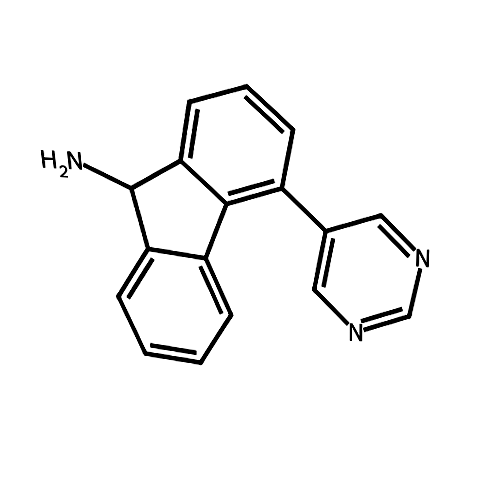 NC1c2ccccc2-c2c(-c3cncnc3)cccc21